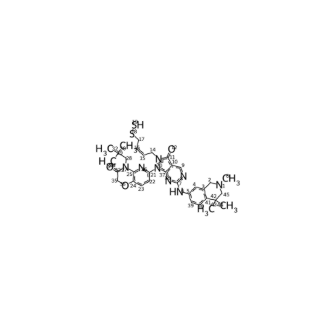 CN1Cc2cc(Nc3ncc4c(=O)n(C/C=C\CSS)n(-c5ccc6c(n5)N(CC(C)(C)C)C(=O)CO6)c4n3)ccc2C(C)(C)C1